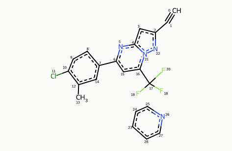 C#Cc1cc2nc(-c3ccc(Cl)c(C)c3)cc(C(F)(F)F)n2n1.c1ccncc1